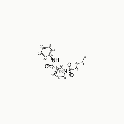 CCCCS(=O)(=O)N1CC2CCC1C(C(=O)Nc1ccccc1)C2